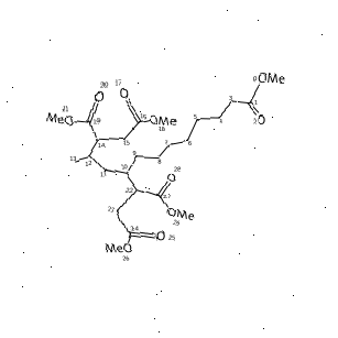 COC(=O)CCCCCCCC(CC(C)C(CC(=O)OC)C(=O)OC)C(CC(=O)OC)C(=O)OC